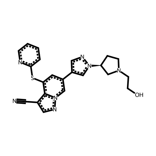 N#Cc1cnn2cc(-c3cnn([C@H]4CCN(CCO)C4)c3)cc(Sc3ccccn3)c12